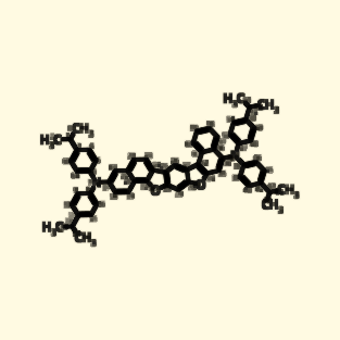 CC(C)c1ccc(N(c2ccc(C(C)C)cc2)c2ccc3c(ccc4c5cc6c(cc5oc34)oc3cc(N(c4ccc(C(C)C)cc4)c4ccc(C(C)C)cc4)c4ccccc4c36)c2)cc1